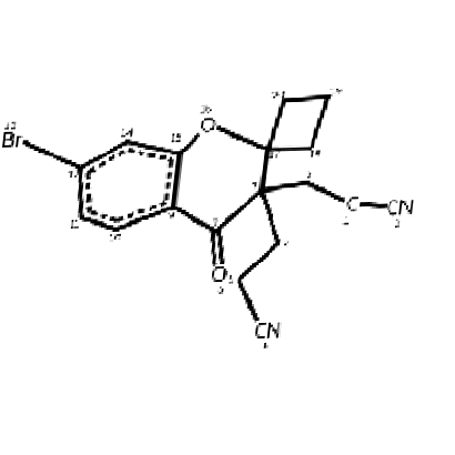 N#CCCC1(CCC#N)C(=O)c2ccc(Br)cc2OC12CCC2